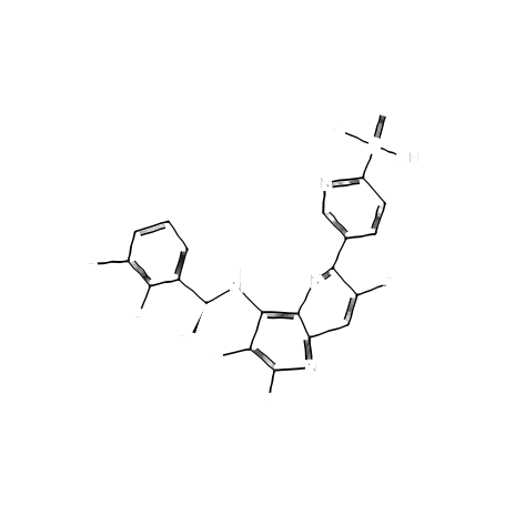 CC[C@H](Nc1c(Cl)c(C)nc2cc(F)c(-c3ccc(P(C)(C)=O)nc3)nc12)c1cccc(F)c1F